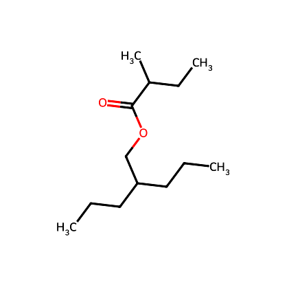 CCCC(CCC)COC(=O)C(C)CC